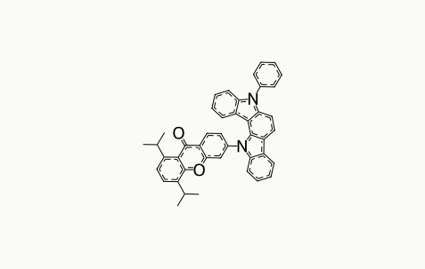 CC(C)c1ccc(C(C)C)c2c(=O)c3ccc(-n4c5ccccc5c5ccc6c(c7ccccc7n6-c6ccccc6)c54)cc3oc12